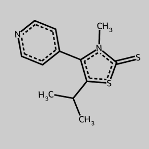 CC(C)c1sc(=S)n(C)c1-c1ccncc1